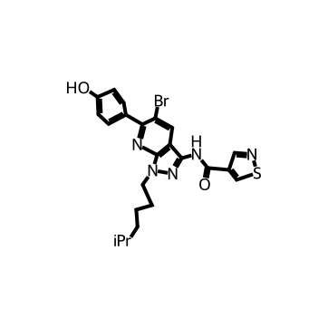 CC(C)CCCCn1nc(NC(=O)c2cnsc2)c2cc(Br)c(-c3ccc(O)cc3)nc21